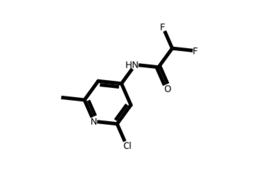 Cc1cc(NC(=O)C(F)F)cc(Cl)n1